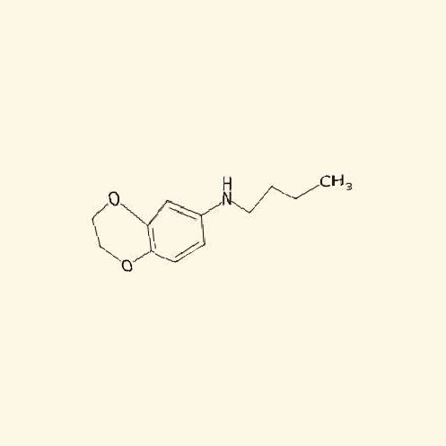 CCCCNc1ccc2c(c1)OCCO2